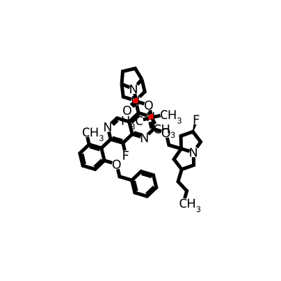 CCCC1CN2C[C@H](F)CC2(COc2nc(N3CC4CCC(C3)N4C(=O)OC(C)(C)C)c3cnc(-c4c(C)cccc4OCc4ccccc4)c(F)c3n2)C1